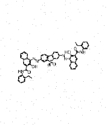 CCc1ccccc1NC(=O)c1cc2ccccc2c(N=Nc2ccc3c(c2)S(=O)(=O)c2cc(N=Nc4c(O)c(C(=O)Nc5ccccc5CC)cc5ccccc45)ccc2-3)c1O